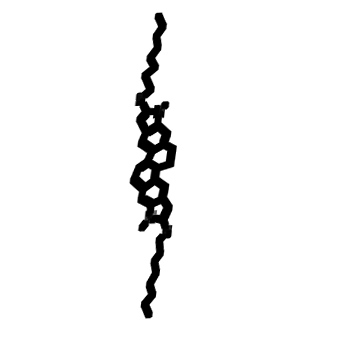 CCCCCCCCSc1cc2cc3c(ccc4c5cc6cc(SCCCCCCCC)n(C)c6cc5ccc34)cc2n1C